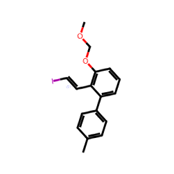 COCOc1cccc(-c2ccc(C)cc2)c1/C=C/I